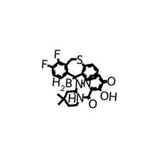 B[C@]1(N2[C@@H]3CC(C)(C)CCN3C(=O)c3c(O)c(=O)ccn32)c2ccccc2SCc2c1ccc(F)c2F